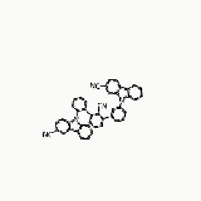 N#Cc1ccc2c(c1)c1ccccc1n2-c1ccccc1-c1cccc(-c2cccc(-n3c4ccccc4c4ccc(C#N)cc43)c2)c1C#N